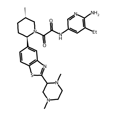 CCc1cc(NC(=O)C(=O)N2C[C@@H](C)CC[C@@H]2c2ccc3sc(C4CN(C)CCN4C)nc3c2)cnc1N